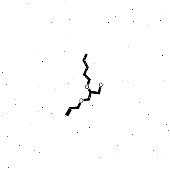 C=CCOCC(C[O])OCCCCC